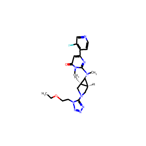 CCOCCn1nnnc1N1C[C@@H]2[C@H](C1)[C@H]2N(C)c1nc(-c2ccncc2F)cc(=O)n1C